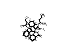 CCCC(N)n1cc(C2(c3c(C)n(C(N)CCC)c4ccccc34)CC(=O)c3ccccc32)c2ccccc21